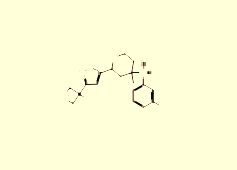 CC1([SH](C)(=O)c2cccc(C(F)(F)F)c2)CCOC(c2cc(C3(O)COC3)n[nH]2)C1